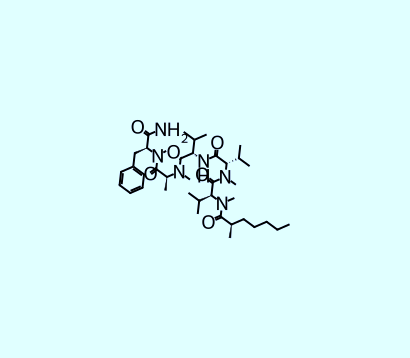 CCCCC[C@@H](C)C(=O)N(C)[C@H](C(=O)N(C)[C@H](C(=O)N[C@H](C(=O)N(C)[C@@H](C)C(=O)N(C)[C@@H](Cc1ccccc1)C(N)=O)C(C)C)C(C)C)C(C)C